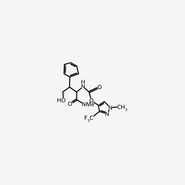 CNC(=O)C(NC(=O)Oc1cn(C)nc1C(F)(F)F)C(CO)c1ccccc1